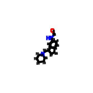 O=CNc1ccc2c(c1)C(CN1CCCCC1)CC2